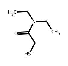 CCN(CC)C(=O)CS